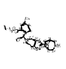 COc1cc(F)ccc1C(=O)N1CCc2nc(N3C4CCC3CNC4)sc2C1